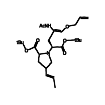 C=CCOC=C(C[C@@H](C(=O)OC(C)(C)C)N1CC(C=CC)CC1C(=O)OC(C)(C)C)NC(C)=O